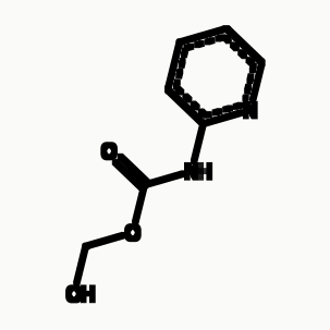 O=C(Nc1ccccn1)OCO